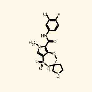 Cn1cc2c(c1C(=O)Nc1ccc(F)c(Cl)c1)OC[C@@]1(CCNC1)NS2(=O)=O